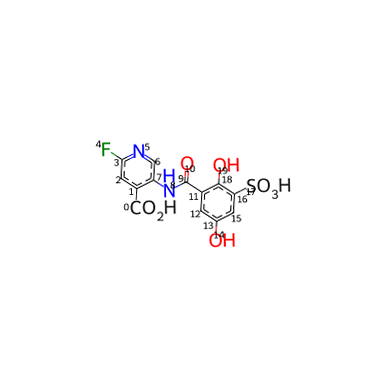 O=C(O)c1cc(F)ncc1NC(=O)c1cc(O)cc(S(=O)(=O)O)c1O